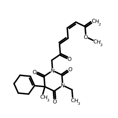 C=C(/C=C\C=C\C(=O)CN1C(=O)N(CC)C(=O)C(C)(C2=CCCCC2)C1=O)OC